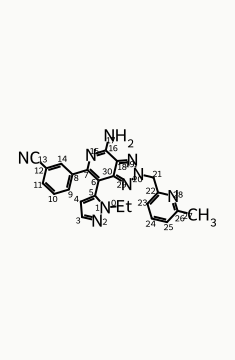 CCn1nccc1-c1c(-c2cccc(C#N)c2)nc(N)c2nn(Cc3cccc(C)n3)nc12